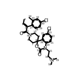 C/C=C(/C(=O)N1CCC2(CC1)OC(=O)N(CCN(C)C)c1ccc(Cl)cc12)c1ccc(Cl)cc1C